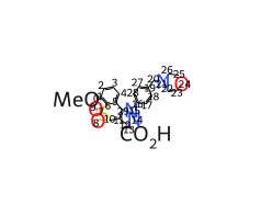 COc1cccc2c1S(=O)(=O)Cc1c(C(=O)O)nn(-c3ccc(CN4CCOCC4)cc3)c1-2